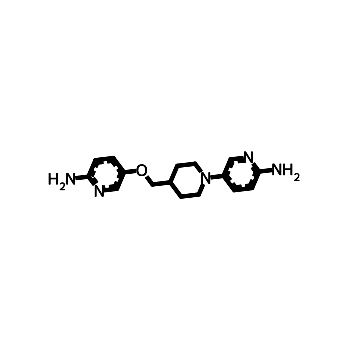 Nc1ccc(OCC2CCN(c3ccc(N)nc3)CC2)cn1